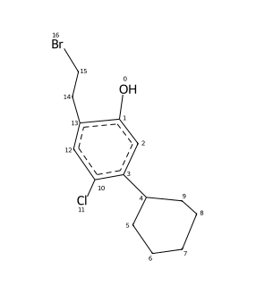 Oc1cc(C2CCCCC2)c(Cl)cc1CCBr